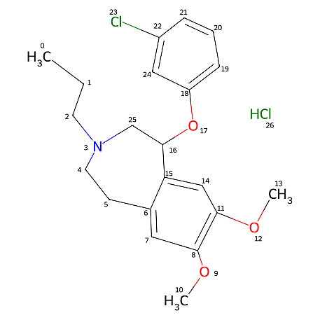 CCCN1CCc2cc(OC)c(OC)cc2C(Oc2cccc(Cl)c2)C1.Cl